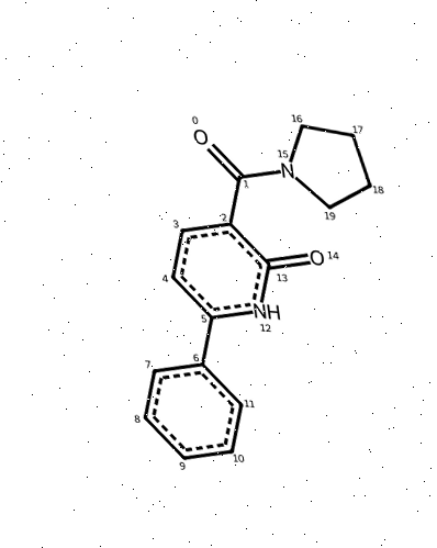 O=C(c1ccc(-c2ccccc2)[nH]c1=O)N1CCCC1